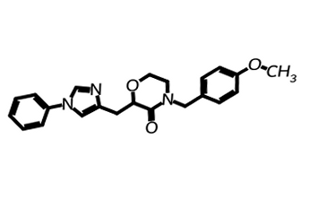 COc1ccc(CN2CCOC(Cc3cn(-c4ccccc4)cn3)C2=O)cc1